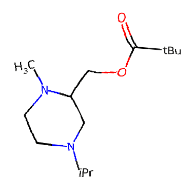 CC(C)N1CCN(C)C(COC(=O)C(C)(C)C)C1